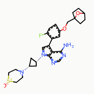 Nc1ncnc2c1c(-c1cc(OCC34CCC(CC3)O4)ccc1F)cn2[C@H]1C[C@@H](N2CC[S+]([O-])CC2)C1